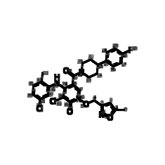 Cc1cc(COn2cc(C(=O)N3CCC(c4ccc(F)cc4)CC3)c(Nc3cc(Cl)ccc3C)c(Cl)c2=O)no1